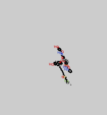 CC(=O)c1ccc(S(=O)(=O)NC(=O)NC2CCCCC2)cc1.C[C@]12CC[C@@H]3c4ccc(O)cc4C[C@@H](CCCCCCCCC[S+]([O-])CCCC(F)(F)C(F)(F)F)[C@H]3[C@@H]1CC[C@@H]2O.O=C(N/N=C/c1ccc([N+](=O)[O-])o1)c1ccc(O)cc1